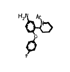 CC(=O)N1CCCCC1c1cc(N)ccc1Oc1ccc(F)cc1